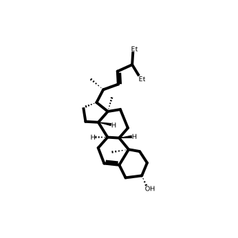 CCC(/C=C/[C@@H](C)[C@H]1CC[C@H]2[C@@H]3CC=C4C[C@@H](O)CC[C@]4(C)[C@H]3CC[C@]12C)CC